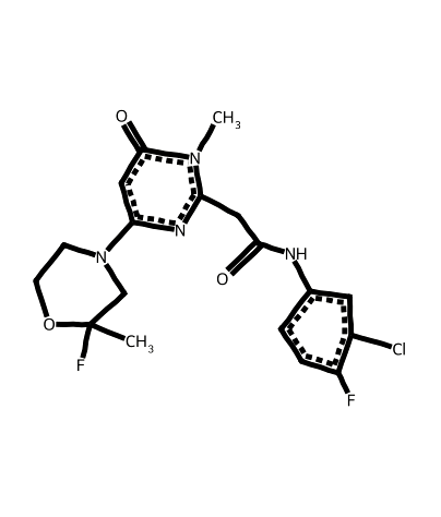 Cn1c(CC(=O)Nc2ccc(F)c(Cl)c2)nc(N2CCOC(C)(F)C2)cc1=O